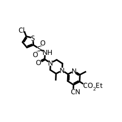 CCOC(=O)c1c(C#N)cc(N2CCN(C(=O)NS(=O)(=O)c3ccc(Cl)s3)CC2C)nc1C